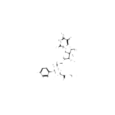 CC(C)OC(=O)[C@H](C)N[P@](=O)(OC[C@H]1O[C@@H](n2cc(F)c(N)nc2=O)[C@@](Cl)(CF)C1O)Oc1ccccc1